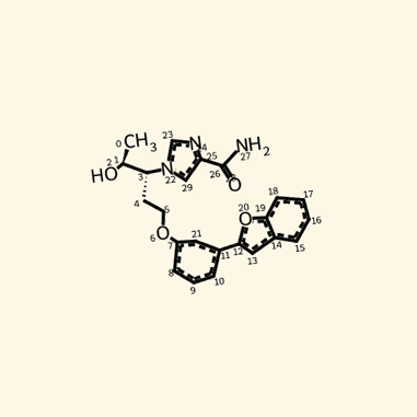 C[C@H](O)[C@@H](CCOc1cccc(-c2cc3ccccc3o2)c1)n1cnc(C(N)=O)c1